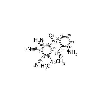 CC(C)c1c(C#N)c(C#N)c(N)c2c1C(=O)c1c(N)cccc1C2=O